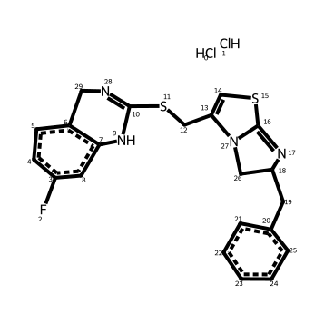 Cl.Cl.Fc1ccc2c(c1)NC(SCC1=CSC3=NC(Cc4ccccc4)CN13)=NC2